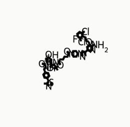 Cc1ncsc1-c1ccc(CNC(=O)[C@@H]2C[C@@H](O)CN2C(=O)[C@@H](NC(=O)CCCCC(=O)N2CCC(n3cc(-c4cnc(N)c(OCCc5c(Cl)ccc(F)c5Cl)c4)cn3)CC2)C(C)(C)C)cc1